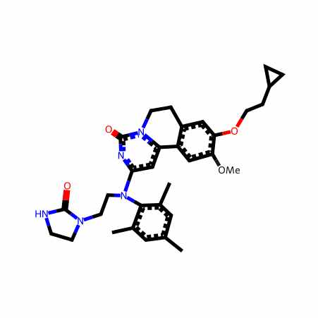 COc1cc2c(cc1OCCC1CC1)CCn1c-2cc(N(CCN2CCNC2=O)c2c(C)cc(C)cc2C)nc1=O